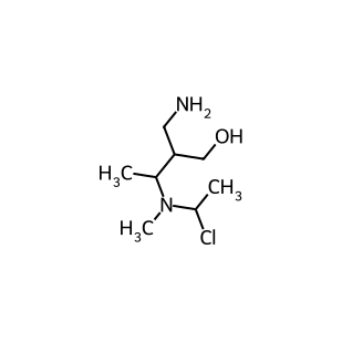 CC(Cl)N(C)C(C)C(CN)CO